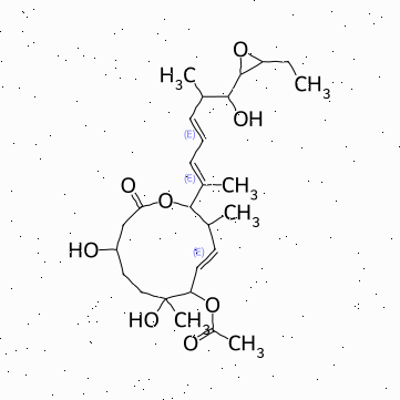 CCC1OC1C(O)C(C)/C=C/C=C(\C)C1OC(=O)CC(O)CCC(C)(O)C(OC(C)=O)/C=C/C1C